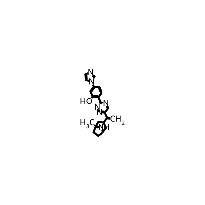 C=C(c1cnc(-c2ccc(-n3ccnc3)cc2O)nn1)C1CC2CC[C@@](C)(C1)N2